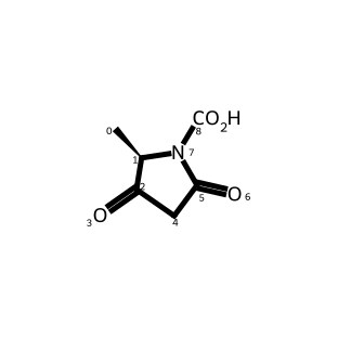 C[C@@H]1C(=O)CC(=O)N1C(=O)O